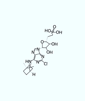 CC1(C)[C@@H]2CC[C@@]1(C)C(Nc1nc(Cl)nc3c1ncn3[C@@H]1O[C@H](CCP(=O)(O)O)C(O)C1O)C2